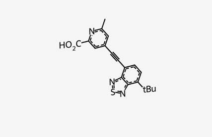 Cc1cc(C#Cc2ccc(C(C)(C)C)c3nsnc23)cc(C(=O)O)n1